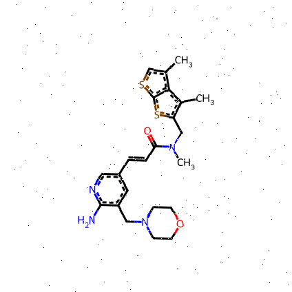 Cc1csc2sc(CN(C)C(=O)C=Cc3cnc(N)c(CN4CCOCC4)c3)c(C)c12